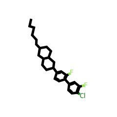 CCCCCCC1CCC2CC(c3ccc(-c4ccc(Cl)c(F)c4)c(F)c3)CCC2C1